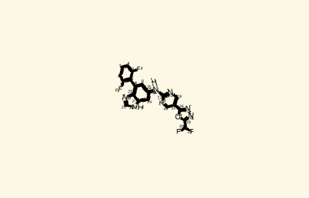 Fc1cccc(F)c1-c1cc(Nc2ncc(-c3nnc(C(F)F)o3)cn2)cc2[nH]cnc12